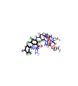 C=N/C(NS(=O)(=O)NC(C)(C)COC)=C(F)\C(=C/C)Cc1cc(C(N)=O)c(Nc2ccc(I)cc2F)c(F)c1F